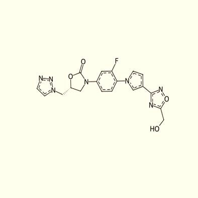 O=C1O[C@@H](Cn2ccnn2)CN1c1ccc(-n2ccc(-c3noc(CO)n3)c2)c(F)c1